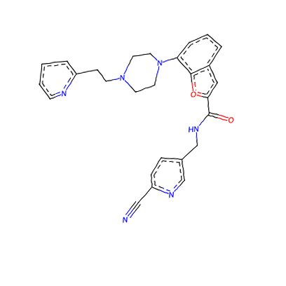 N#Cc1ccc(CNC(=O)c2cc3cccc(N4CCN(CCc5ccccn5)CC4)c3o2)cn1